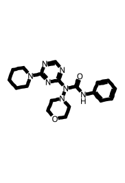 O=C(Nc1ccccc1)N(c1ncnc(N2CCCCC2)n1)N1CCOCC1